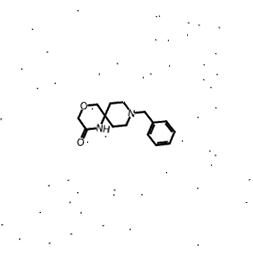 O=C1COCC2(CCN(Cc3ccccc3)CC2)N1